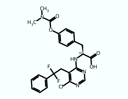 CN(C)C(=O)Oc1ccc(C[C@H](Nc2ncnc(Cl)c2CC(F)(F)c2ccccc2)C(=O)O)cc1